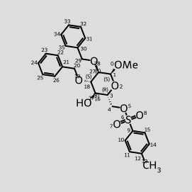 CO[C@H]1O[C@H](COS(=O)(=O)c2ccc(C)cc2)[C@@H](O)[C@H](OCc2ccccc2)[C@H]1OCc1ccccc1